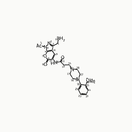 BCc1nn(C(C)=O)c2oc(=O)c(NC(=O)CCN3CCN(c4ccccc4OC)CC3)cc12